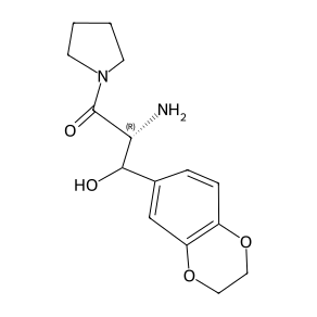 N[C@@H](C(=O)N1CCCC1)C(O)c1ccc2c(c1)OCCO2